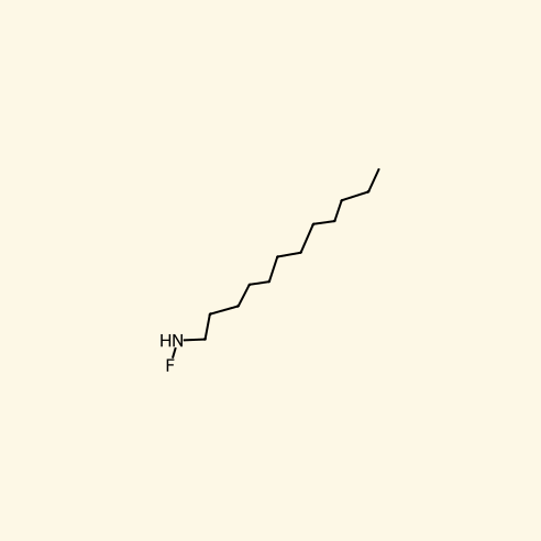 CCCCCCCCCCCCNF